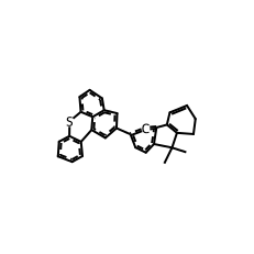 CC1(C)C2=C(C=CCC2)c2cc(-c3cc4c5c(cccc5c3)Sc3ccccc3-4)ccc21